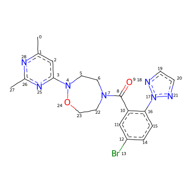 Cc1cc(N2CCN(C(=O)c3cc(Br)ccc3-n3nccn3)CCO2)nc(C)n1